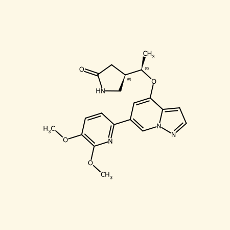 COc1ccc(-c2cc(O[C@H](C)[C@H]3CNC(=O)C3)c3ccnn3c2)nc1OC